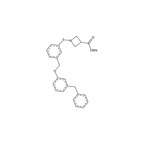 COC(=O)C1CN(Sc2cccc(COc3cccc(Cc4ccccc4)c3)c2)C1